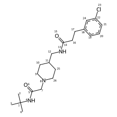 CC(C)(C)NC(=O)CN1CCC(CNC(=O)CCc2cccc(Cl)c2)CC1